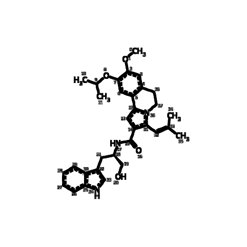 COc1cc2c(cc1OC(C)C)-c1cc(C(=O)N[C@@H](CO)Cc3c[nH]c4ccccc34)c(C=C(C)C)n1CC2